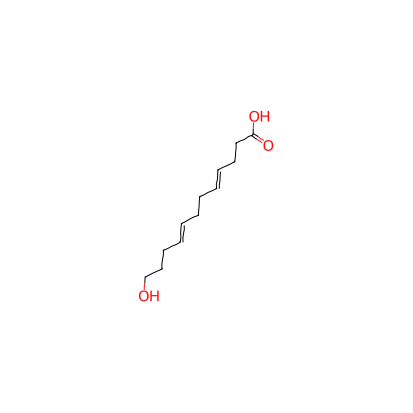 O=C(O)CCC=CCCC=CCCCO